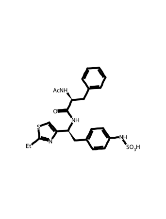 CCc1nc([C@H](Cc2ccc(NS(=O)(=O)O)cc2)NC(=O)[C@H](Cc2ccccc2)NC(C)=O)cs1